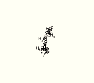 Cn1c(=O)n(C2CCC(=O)NC2=O)c2cccc([C@H]3CC[C@@H](N(C)C[C@H]4CC[C@H](n5cc6cc(NC(=O)c7cccc(C(F)(F)F)n7)c(C(C)(C)O)cc6n5)CC4)CC3)c21